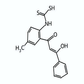 Cc1ccc(NC(=S)S)c(C(=O)C=C(O)c2ccccc2)c1